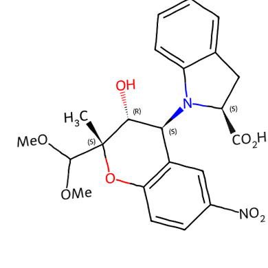 COC(OC)[C@@]1(C)Oc2ccc([N+](=O)[O-])cc2[C@H](N2c3ccccc3C[C@H]2C(=O)O)[C@H]1O